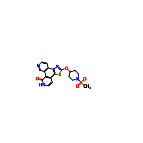 CS(=O)(=O)N1CCC(Oc2nc3c4ccncc4c4c(=O)[nH]ccc4c3s2)CC1